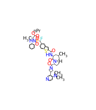 CCCOC(=O)[C@H](C)NP(=O)(Oc1ccccc1)[C@@H](F)c1ccc2sc(C(=O)N[C@H]3C[C@@H](C)C[C@H]4CC[C@@H](C(=O)N5CC(c6cnccc6N(C)C)C5)N4C3=O)cc2c1